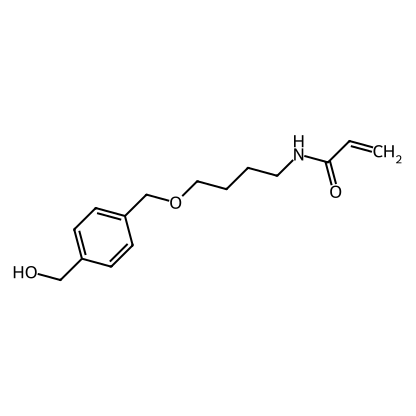 C=CC(=O)NCCCCOCc1ccc(CO)cc1